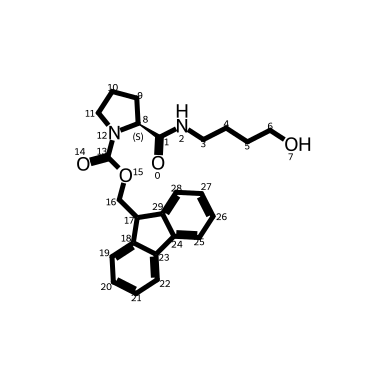 O=C(NCCCCO)[C@@H]1CCCN1C(=O)OCC1c2ccccc2-c2ccccc21